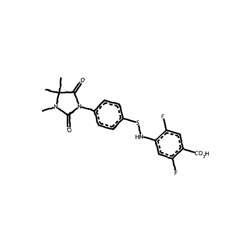 CN1C(=O)N(c2ccc(SNc3cc(F)c(C(=O)O)cc3F)cc2)C(=O)C1(C)C